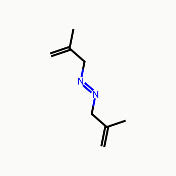 C=C(C)CN=NCC(=C)C